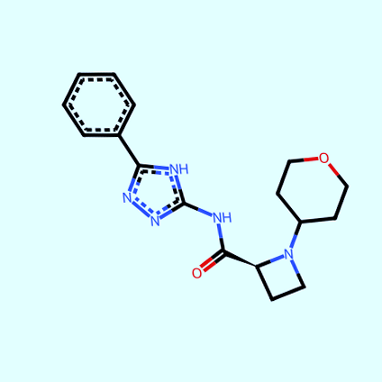 O=C(Nc1nnc(-c2ccccc2)[nH]1)[C@@H]1CCN1C1CCOCC1